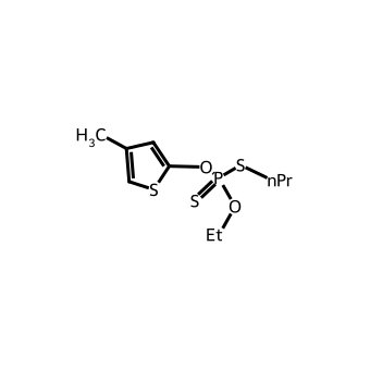 CCCSP(=S)(OCC)Oc1cc(C)cs1